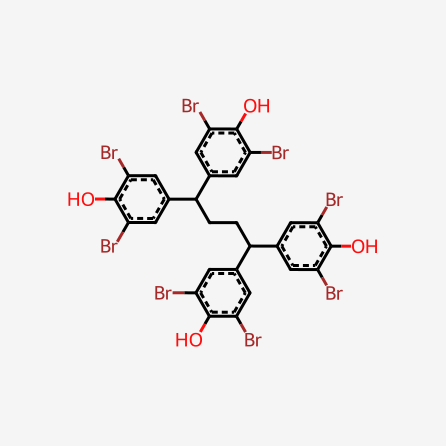 Oc1c(Br)cc(C(CCC(c2cc(Br)c(O)c(Br)c2)c2cc(Br)c(O)c(Br)c2)c2cc(Br)c(O)c(Br)c2)cc1Br